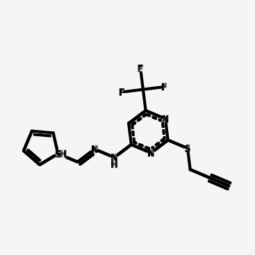 C#CCSc1nc(N/N=C/[SH]2C=CC=C2)cc(C(F)(F)F)n1